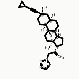 C=C(Cn1ncnn1)[C@H]1CC[C@H]2[C@@H]3CC[C@@H]4C[C@@](O)(C#CC5CC5)CC[C@@H]4[C@H]3CC[C@]12C